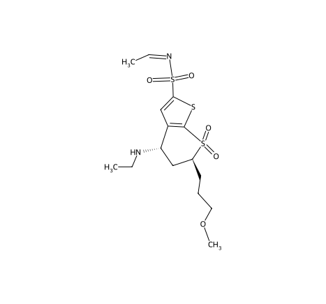 C/C=N\S(=O)(=O)c1cc2c(s1)S(=O)(=O)[C@@H](CCCOC)C[C@@H]2NCC